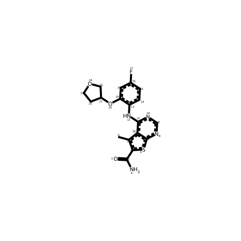 Cc1c(C(N)=O)sc2ncnc(Nc3ccc(F)cc3OC3CCOC3)c12